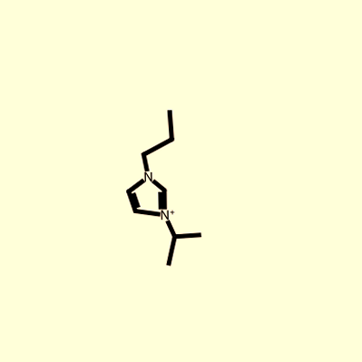 CCCn1cc[n+](C(C)C)c1